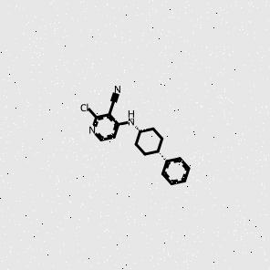 N#Cc1c(N[C@H]2CC[C@@H](c3ccccc3)CC2)ccnc1Cl